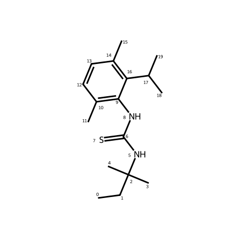 CCC(C)(C)NC(=S)Nc1c(C)ccc(C)c1C(C)C